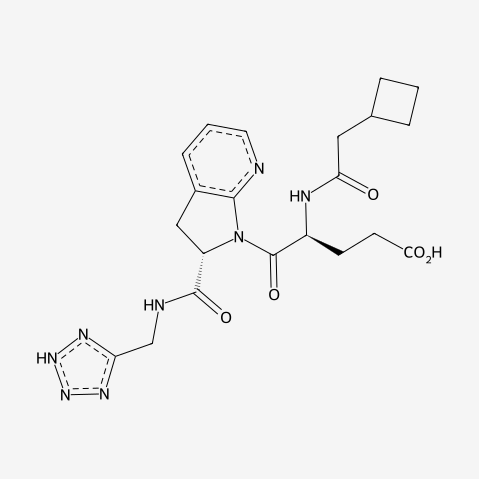 O=C(O)CC[C@H](NC(=O)CC1CCC1)C(=O)N1c2ncccc2C[C@H]1C(=O)NCc1nn[nH]n1